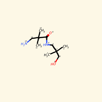 CC(C)(CO)CNC(=O)C(C)(C)CN